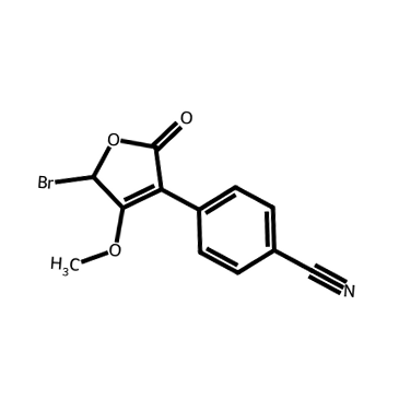 COC1=C(c2ccc(C#N)cc2)C(=O)OC1Br